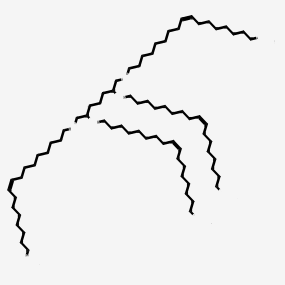 CCCCCCCC/C=C\CCCCCCCCOCC([CH]C[CH]C(COCCCCCCCC/C=C\CCCCCCCC)OCCCCCCCC/C=C\CCCCCCCC)OCCCCCCCC/C=C\CCCCCCCC